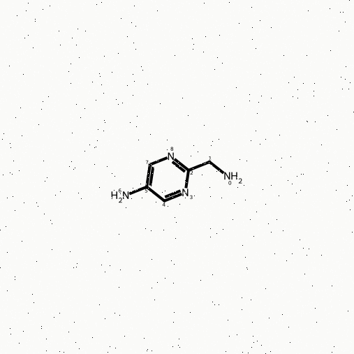 NCc1ncc(N)cn1